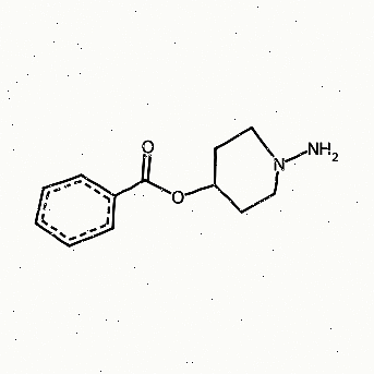 NN1CCC(OC(=O)c2ccccc2)CC1